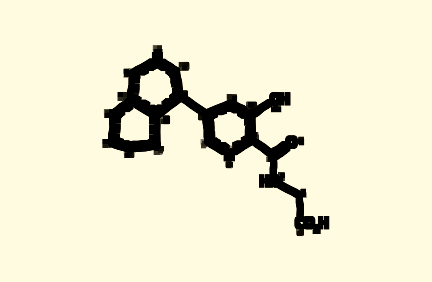 O=C(O)CNC(=O)c1ncc(-c2cncc3ccccc23)cc1O